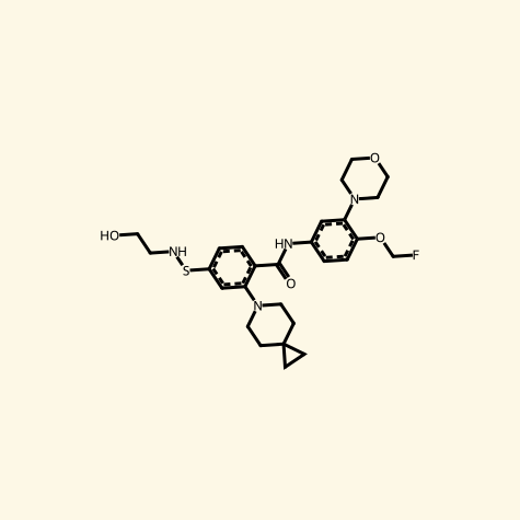 O=C(Nc1ccc(OCF)c(N2CCOCC2)c1)c1ccc(SNCCO)cc1N1CCC2(CC1)CC2